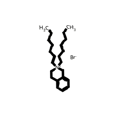 CCCCCCC[N+]1(CCCCCCC)CCc2ccccc2C1.[Br-]